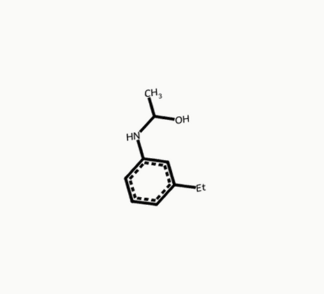 CCc1cccc(NC(C)O)c1